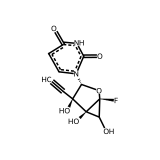 C#C[C@]1(O)[C@H](n2ccc(=O)[nH]c2=O)O[C@]2(F)C(O)[C@@]21O